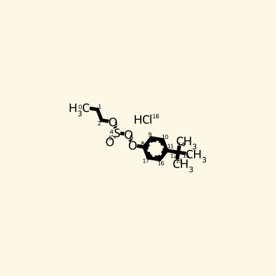 CCCOS(=O)OOc1ccc(C(C)(C)C)cc1.Cl